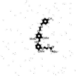 COc1ccc(NCc2c(OC)cc(OCCOCc3ccc(C)cc3)cc2OC)cc1OCCNC(=O)OC(C)(C)C